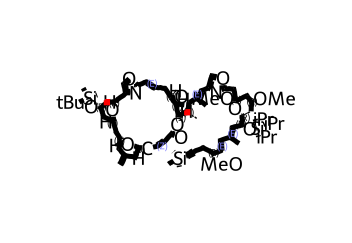 C=C1C[C@@H]2C[C@@H]3C[C@@H](O[Si](C)(C)C(C)(C)C)C[C@@H](O3)c3coc(n3)/C=C/C[C@H]3OC(/C(C)=C/c4coc(C[C@]5(OC)C[C@H](OC)C[C@H]([C@@H](/C=C(C)/C=C/[C@@H](CC#C[Si](C)(C)C)OC)O[Si](C(C)C)(C(C)C)C(C)C)O5)n4)[C@H](C)[C@@H](OC(=O)/C=C\C[C@@H](C1)O2)[C@H]3C